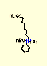 CCCCCCCCCCCCCCCCC[N+](CCC)(CCCC)C1CCCCC1